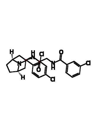 O=C(CNC(=O)c1cccc(Cl)c1)N[C@H]1C[C@H]2CC[C@@H](C1)N2Cc1ccc(Cl)cc1Cl